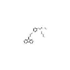 CCCCCOC(Cc1ccc(OCCCC=C2c3ccccc3-c3ccccc32)cc1)C(=O)OCC